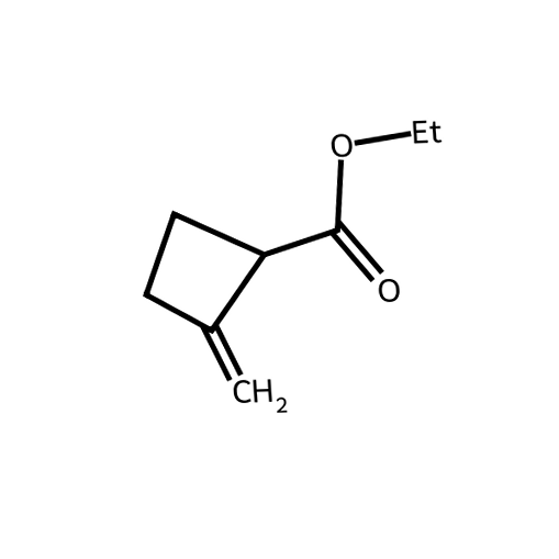 C=C1CCC1C(=O)OCC